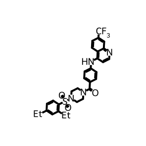 CCc1ccc(S(=O)(=O)N2CCN(C(=O)c3ccc(Nc4ccnc5cc(C(F)(F)F)ccc45)cc3)CC2)c(CC)c1